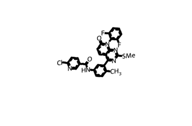 CSc1nc(-c2cc(NC(=O)c3ccc(Cl)nc3)ccc2C)c2ccc(=O)n(-c3c(F)cccc3F)c2n1